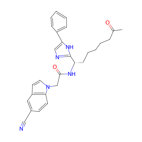 CC(=O)CCCCC[C@H](NC(=O)Cn1ccc2cc(C#N)ccc21)c1ncc(-c2ccccc2)[nH]1